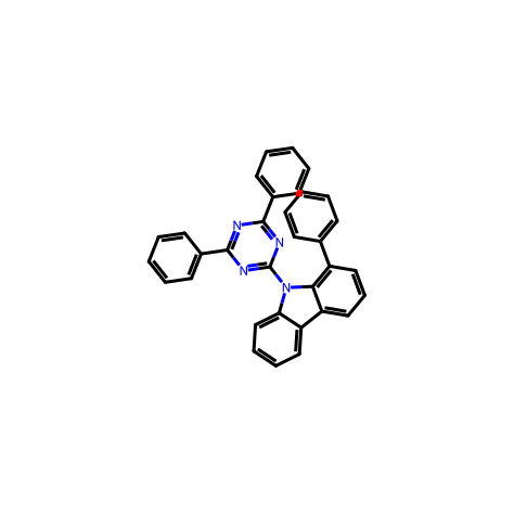 c1ccc(-c2nc(-c3ccccc3)nc(-n3c4ccccc4c4cccc(-c5ccccc5)c43)n2)cc1